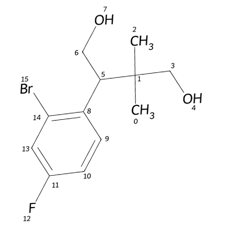 CC(C)(CO)C(CO)c1ccc(F)cc1Br